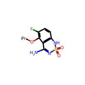 CC(C)Oc1c(F)ccc2c1C(N)=NS(=O)(=O)N2